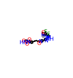 CC(C)N1CCOc2c(F)cc(-c3nc(Nc4ccc(C5CCN(C(=O)CCCC#Cc6ccc7c(c6)C(=O)N(C6CCC(=O)NC6=O)C7)CC5)cn4)ncc3F)cc21